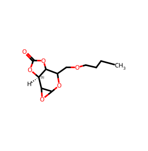 CCCCOCC1OC2OC2[C@H]2OC(=O)OC12